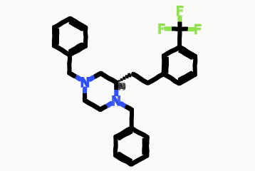 FC(F)(F)c1cccc(CC[C@H]2CN(Cc3ccccc3)CCN2Cc2ccccc2)c1